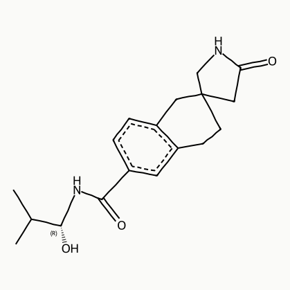 CC(C)[C@@H](O)NC(=O)c1ccc2c(c1)CCC1(CNC(=O)C1)C2